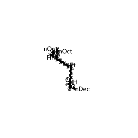 CCCCCCCCCCCOC(=O)C(C)NC(=O)CCCCCN(CC)CCCCCCCC(=O)NC(C)C(=O)OC(CCCCCCCC)CCCCCCCC